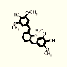 COc1cc(/C=C2/CCC/C(=C\c3cc(OC)c(O)c(OC)c3)C2=O)cc(OC)c1O